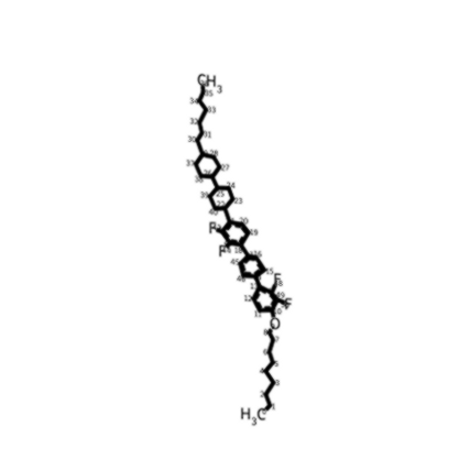 CCCCCCCCCOc1ccc(-c2ccc(-c3ccc(C4CCC(C5CCC(CCCCCCC)CC5)CC4)c(F)c3F)cc2)c(F)c1F